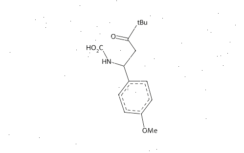 COc1ccc(C(CC(=O)C(C)(C)C)NC(=O)O)cc1